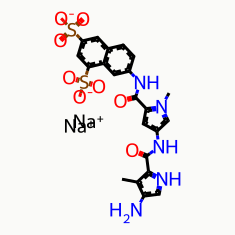 Cc1c(N)c[nH]c1C(=O)Nc1cc(C(=O)Nc2ccc3cc(S(=O)(=O)[O-])cc(S(=O)(=O)[O-])c3c2)n(C)c1.[Na+].[Na+]